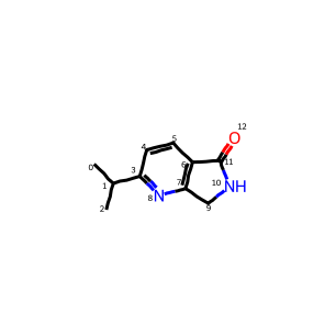 CC(C)c1ccc2c(n1)CNC2=O